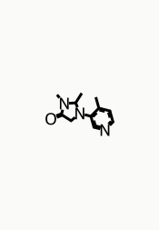 Cc1ccncc1N1CC(=O)N(C)C1C